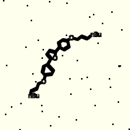 CCCC/C=C/COc1ccc(-c2ccc(-c3ccc(OC/C=C/CCCC)cc3)o2)cc1